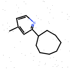 Cc1ccnc(C2CCCCCCC2)c1